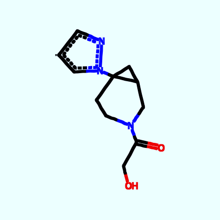 O=C(CO)N1CCC2(n3c[c]cn3)CC2C1